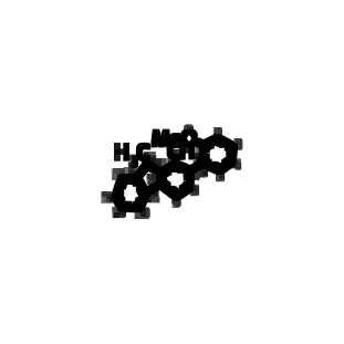 COc1ccccc1-c1ccc2c(c1C)C(C)c1ccccc1-2